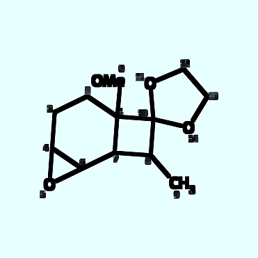 COC12CCC3OC3C1C(C)C21OCCO1